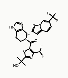 CC(C)(O)c1nc(C(F)F)c(C(=O)N2CCc3[nH]cnc3[C@@H]2c2cc3ccc(C(F)(F)F)cn3n2)o1